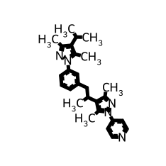 Cc1nn(-c2cccc(CC(C)c3c(C)nn(-c4ccncc4)c3C)c2)c(C)c1C(C)C